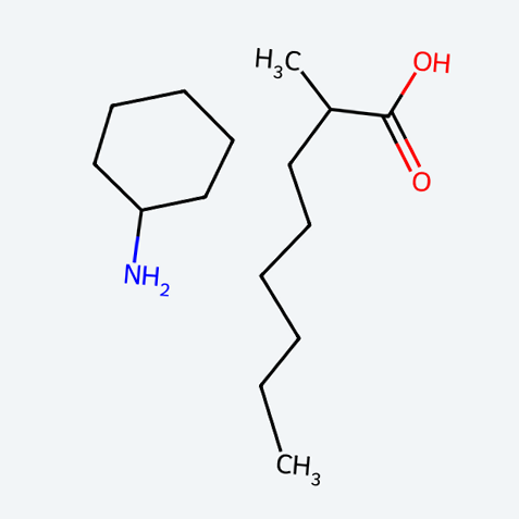 CCCCCCC(C)C(=O)O.NC1CCCCC1